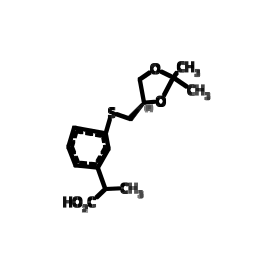 CC(C(=O)O)c1cccc(SC[C@H]2COC(C)(C)O2)c1